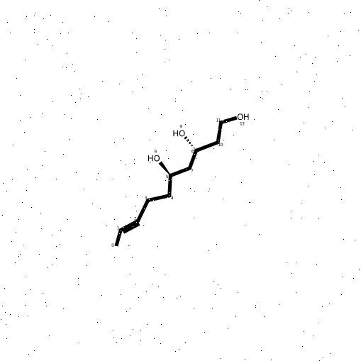 C/C=C/CC[C@@H](O)C[C@H](O)CCO